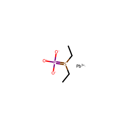 CCS(CC)=P([O-])([O-])[O-].[Pb+3]